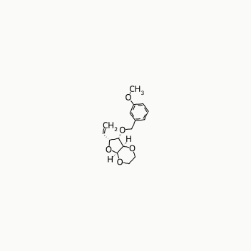 C=C[C@H]1O[C@@H]2OCCO[C@@H]2[C@H]1OCc1cccc(OC)c1